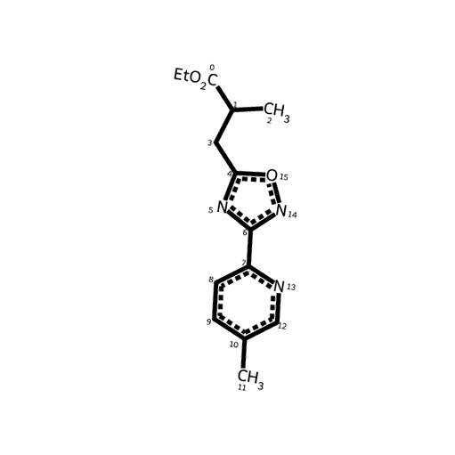 CCOC(=O)C(C)Cc1nc(-c2ccc(C)cn2)no1